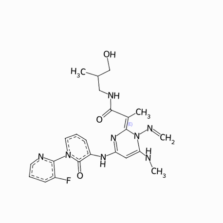 C=NN1C(NC)=CC(Nc2cccn(-c3ncccc3F)c2=O)=N/C1=C(/C)C(=O)NCC(C)CO